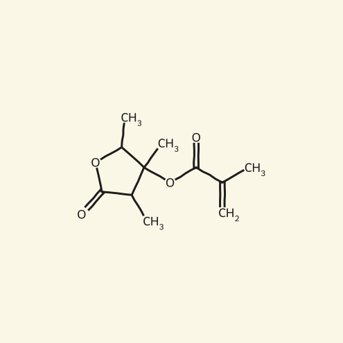 C=C(C)C(=O)OC1(C)C(C)OC(=O)C1C